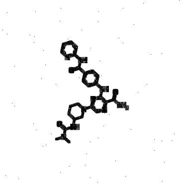 CN(C)C(=O)NC1CCCN(c2cnc(C(N)=O)c(Nc3ccc(C(=O)Nc4ccccn4)cc3)n2)C1